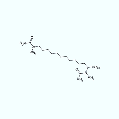 CCCCCCC(CCCCCCCCCCCN(N)C(N)=O)N(N)C(N)=O